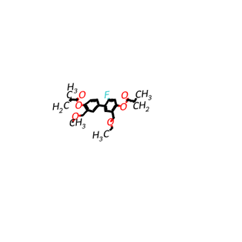 C=C(C)C(=O)Oc1ccc(-c2cc(COCC)c(OC(=O)C(=C)C)cc2F)cc1COC